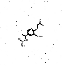 COc1cc(C(C)N[S+]([O-])C(C)(C)C)cnc1OCC(F)F